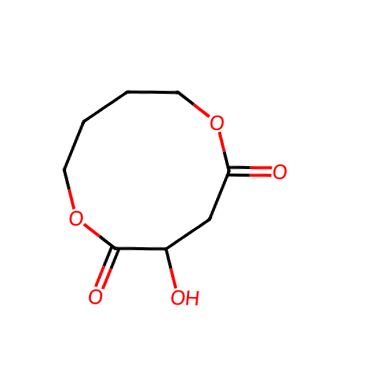 O=C1CC(O)C(=O)OCCCCO1